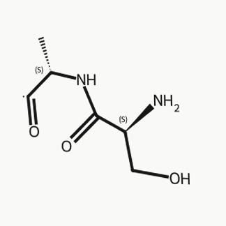 C[C@@H]([C]=O)NC(=O)[C@@H](N)CO